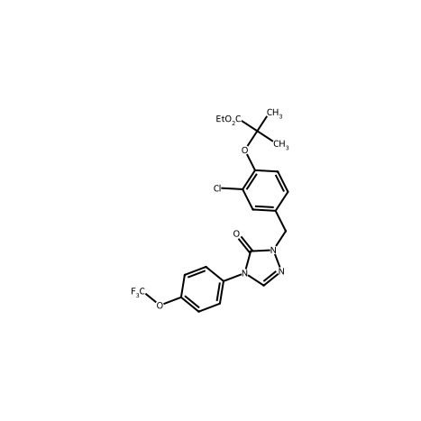 CCOC(=O)C(C)(C)Oc1ccc(Cn2ncn(-c3ccc(OC(F)(F)F)cc3)c2=O)cc1Cl